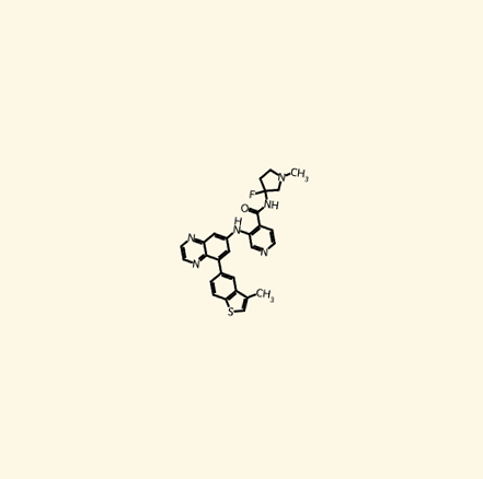 Cc1csc2ccc(-c3cc(Nc4cnccc4C(=O)NC4(F)CCN(C)C4)cc4nccnc34)cc12